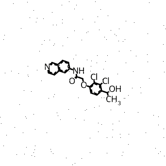 CC(O)c1ccc(OCC(=O)Nc2ccc3cnccc3c2)c(Cl)c1Cl